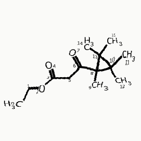 CCOC(=O)CC(=O)C1(C)C(C)(C)C1(C)C